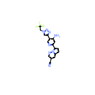 N#Cc1cnn2c(-c3cc(N)c(-c4cn(CC(F)(F)F)nn4)cn3)ccc2c1